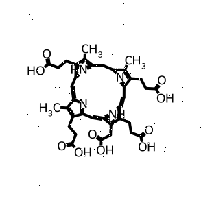 CC1=C(CCC(=O)O)C2=NC/1=C\c1[nH]c(c(C)c1CCC(=O)O)CC1N=C(/C=c3\[nH]/c(c(CC(=O)O)c3CCC(=O)O)=C\2)C(CCC(=O)O)=C1C